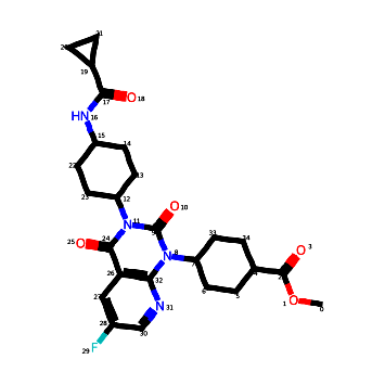 COC(=O)C1CCC(n2c(=O)n(C3CCC(NC(=O)C4CC4)CC3)c(=O)c3cc(F)cnc32)CC1